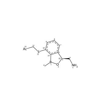 CB1O[C@H](CN)c2cccc(SCC(C)=O)c21